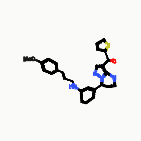 COc1ccc(C=CCNc2cccc(-c3ccnc4c(C(=O)c5cccs5)cnn34)c2)cc1